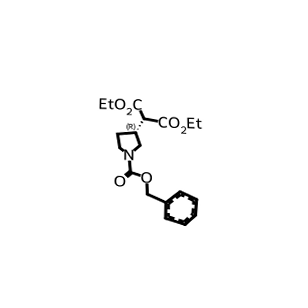 CCOC(=O)C(C(=O)OCC)[C@H]1CCN(C(=O)OCc2ccccc2)C1